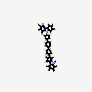 Cc1c(C)c(C)c2c(c1C)c1c(C)c(C)c(-c3ccc(-c4ccc(-c5ccc(-n6c7c(C)c(C)c(C)c(C)c7c7c(C)c(C)c(C)c(C)c76)cc5)cc4)cc3)c(C)c1n2C